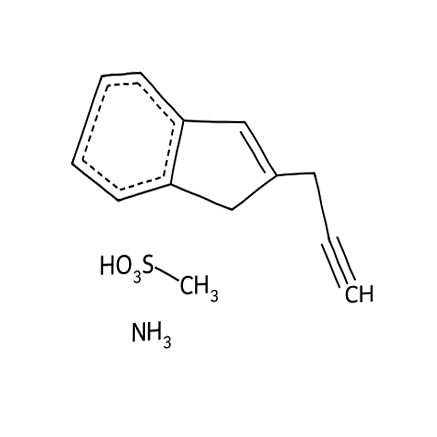 C#CCC1=Cc2ccccc2C1.CS(=O)(=O)O.N